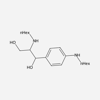 CCCCCCNc1ccc(C(O)C(CO)NCCCCCC)cc1